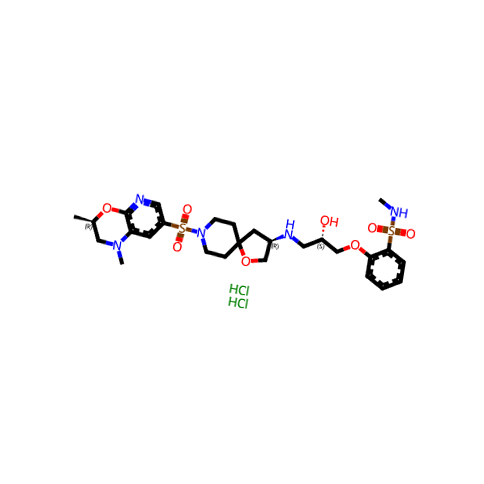 CNS(=O)(=O)c1ccccc1OC[C@@H](O)CN[C@H]1COC2(CCN(S(=O)(=O)c3cnc4c(c3)N(C)C[C@@H](C)O4)CC2)C1.Cl.Cl